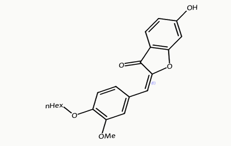 CCCCCCOc1ccc(/C=C2/Oc3cc(O)ccc3C2=O)cc1OC